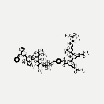 CC[C@H](C)[C@@H]([C@@H](CC(=O)N1CCC[C@H]1[C@H](OC)[C@@H](C)C(=O)N[C@@H](Cc1ccccc1)c1nccs1)OC)N(C)C(=O)[C@@H](NC(=O)C(C)(C)NC(=O)OCc1ccc(NC(=O)[C@H](CCCNC(N)=O)NC(=O)[C@H](CCCNC(N)=O)NC(=O)[C@H](CCCNC(=O)OC(C)(C)C)NC(C)=O)cc1)C(C)C